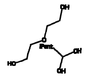 CCCC(C)C(O)O.OCCOCCO